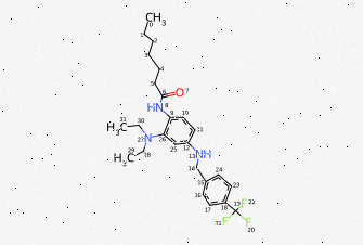 CCCCCCC(=O)Nc1ccc(NCc2ccc(C(F)(F)F)cc2)cc1N(CC)CC